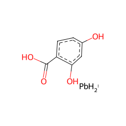 O=C(O)c1ccc(O)cc1O.[PbH2]